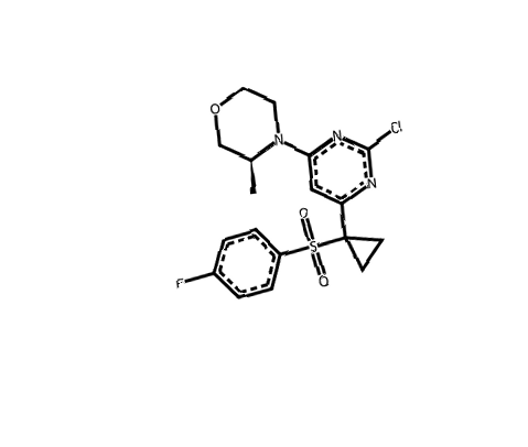 C[C@H]1COCCN1c1cc(C2(S(=O)(=O)c3ccc(F)cc3)CC2)nc(Cl)n1